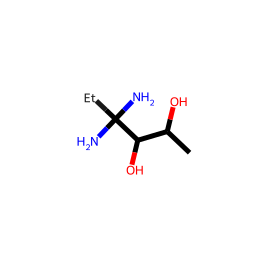 CCC(N)(N)C(O)C(C)O